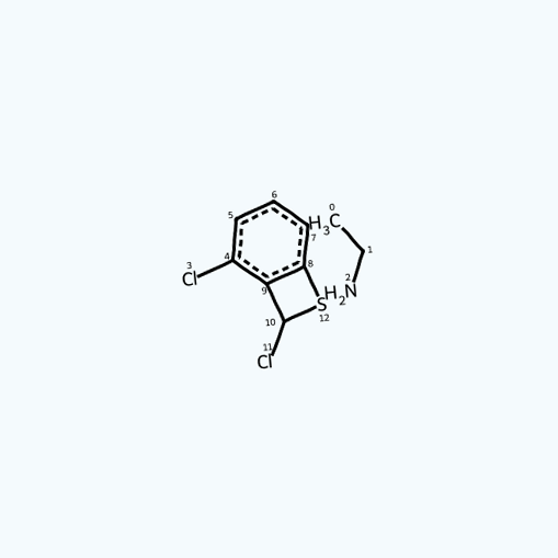 CCN.Clc1cccc2c1C(Cl)S2